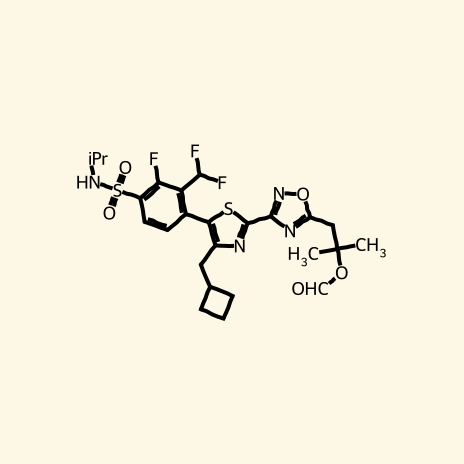 CC(C)NS(=O)(=O)c1ccc(-c2sc(-c3noc(CC(C)(C)OC=O)n3)nc2CC2CCC2)c(C(F)F)c1F